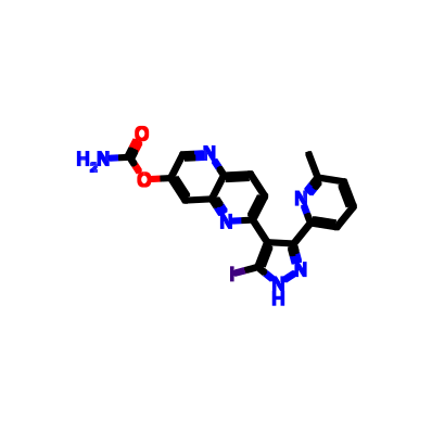 Cc1cccc(-c2n[nH]c(I)c2-c2ccc3ncc(OC(N)=O)cc3n2)n1